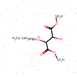 O=C(OS(=O)(=O)O)C(O)C(O)C(=O)OS(=O)(=O)O.[CaH2].[CaH2].[KH].[KH]